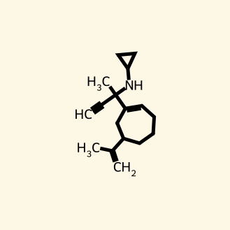 C#CC(C)(NC1CC1)C1=CCCCC(C(=C)C)C1